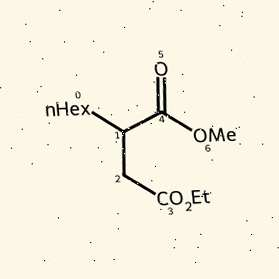 CCCCCCC(CC(=O)OCC)C(=O)OC